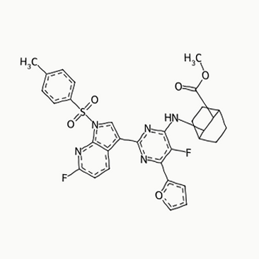 COC(=O)C1C2CCC(CC2)C1Nc1nc(-c2cn(S(=O)(=O)c3ccc(C)cc3)c3nc(F)ccc23)nc(-c2ccco2)c1F